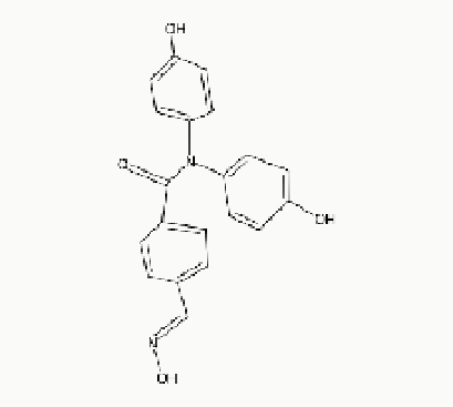 O=C(c1ccc(C=NO)cc1)N(c1ccc(O)cc1)c1ccc(O)cc1